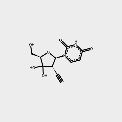 C#C[C@H]1[C@H](n2ccc(=O)[nH]c2=O)O[C@H](CO)C1(O)O